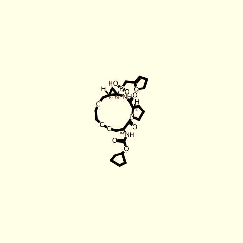 O=C(N[C@H]1CCCCCCC[C@@H]2C[C@@]2(P(=O)(O)CC2=CCCO2)NC(=O)[C@@H]2CCCN2C1=O)OC1CCCC1